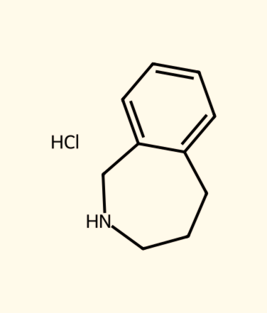 Cl.c1ccc2c(c1)CCCNC2